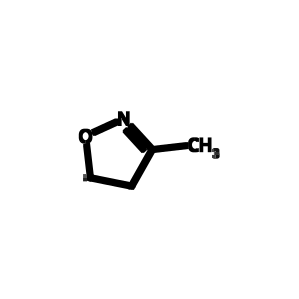 CC1=NO[C]C1